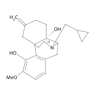 C=C1CC[C@@]2(O)C3Cc4ccc(OC)c(O)c4C2(CCN3CC2CC2)C1